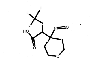 O=NC1(C(CC(F)(F)F)C(=O)O)CCOCC1